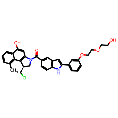 Cc1cccc2c(O)cc3c(c12)[C@H](CCl)CN3C(=O)c1ccc2[nH]c(-c3cccc(OCCOCCO)c3)cc2c1